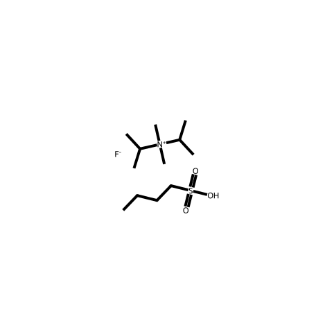 CC(C)[N+](C)(C)C(C)C.CCCCS(=O)(=O)O.[F-]